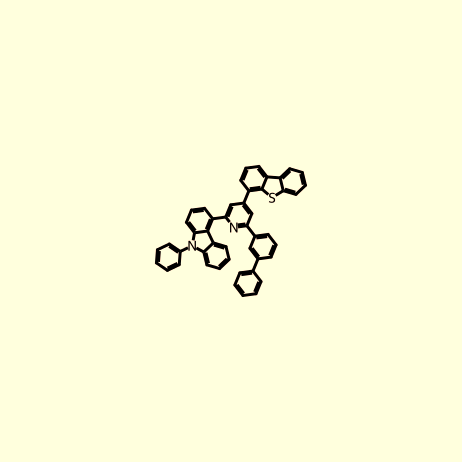 c1ccc(-c2cccc(-c3cc(-c4cccc5c4sc4ccccc45)cc(-c4cccc5c4c4ccccc4n5-c4ccccc4)n3)c2)cc1